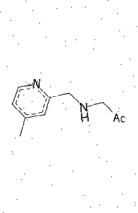 CC(=O)CNCc1cc(C)ccn1